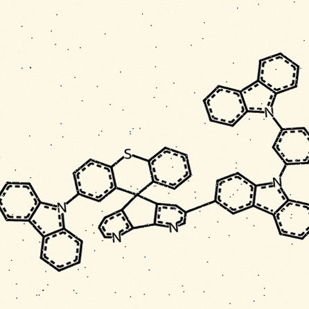 c1ccc2c(c1)Sc1ccc(-n3c4ccccc4c4ccccc43)cc1C21c2cccnc2-c2ncc(-c3ccc4c(c3)c3ccccc3n4-c3cncc(-n4c5ccccc5c5ccccc54)c3)cc21